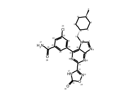 C[C@H]1CC[C@H](Cn2cnc3nc(-c4noc(=O)[nH]4)nc(-c4cc(Cl)cc(C(N)=O)c4)c32)CC1